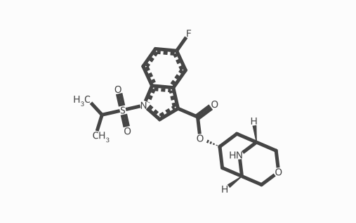 CC(C)S(=O)(=O)n1cc(C(=O)O[C@H]2C[C@H]3COC[C@@H](C2)N3)c2cc(F)ccc21